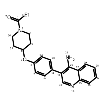 CCC(=O)N1CCC(Oc2ccc(-c3cnc4ccccc4c3N)cc2)CC1